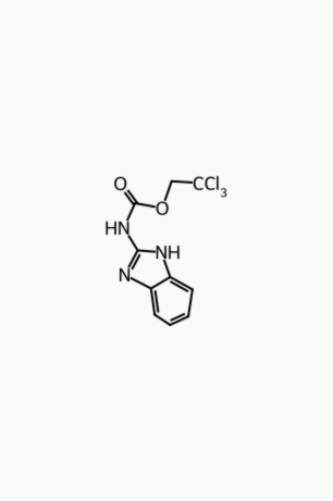 O=C(Nc1nc2ccccc2[nH]1)OCC(Cl)(Cl)Cl